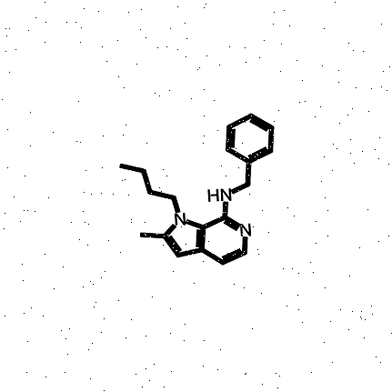 CCCCn1c(C)cc2ccnc(NCc3ccccc3)c21